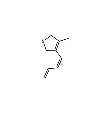 C=C/C=C\C1=C(C)CSC1